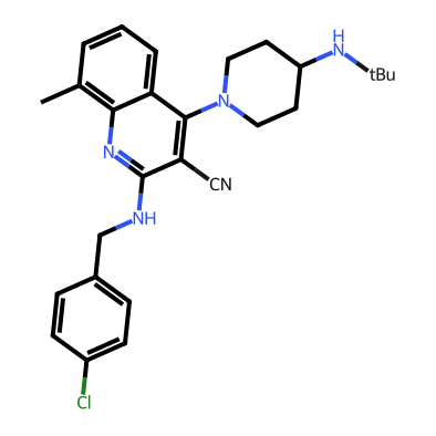 Cc1cccc2c(N3CCC(NC(C)(C)C)CC3)c(C#N)c(NCc3ccc(Cl)cc3)nc12